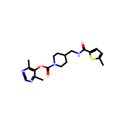 Cc1ccc(C(=O)NCC2CCN(C(=O)Oc3c(C)ncnc3C)CC2)s1